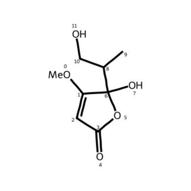 COC1=CC(=O)OC1(O)C(C)CO